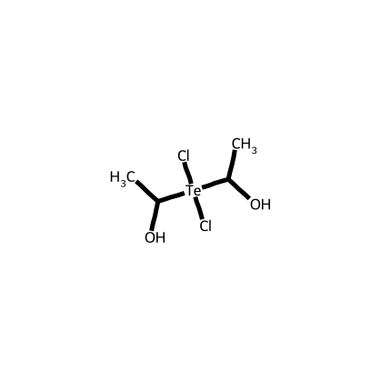 CC(O)[Te](Cl)(Cl)C(C)O